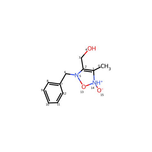 CC1=C(CO)N(Cc2ccccc2)O[NH+]1[O-]